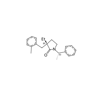 CC[C@@]1(Cc2ccccc2C)CCN([C@@H](C)c2ccccc2)C1=O